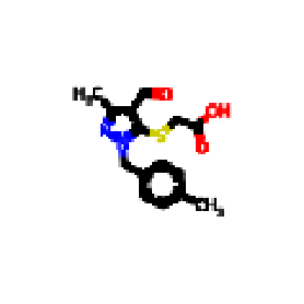 Cc1ccc(Cn2nc(C)c(C=O)c2SCC(=O)O)cc1